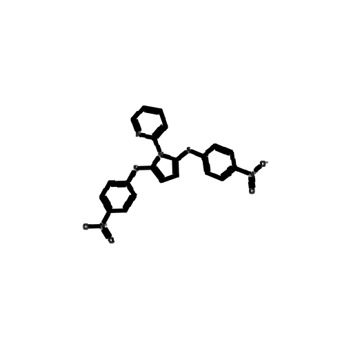 O=[N+]([O-])c1ccc(Sc2ccc(Sc3ccc([N+](=O)[O-])cc3)n2-c2ccccn2)cc1